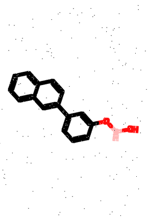 OBOc1cccc(-c2ccc3ccccc3c2)c1